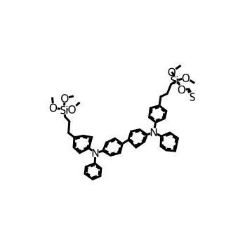 CO[Si](CCCc1ccc(N(c2ccccc2)c2ccc(-c3ccc(N(c4ccccc4)c4ccc(CCC[Si](OC)(OC)OC=S)cc4)cc3)cc2)cc1)(OC)OC